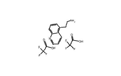 NCCc1cccc2ncccc12.O=C(O)C(F)(F)F.O=C(O)C(F)(F)F